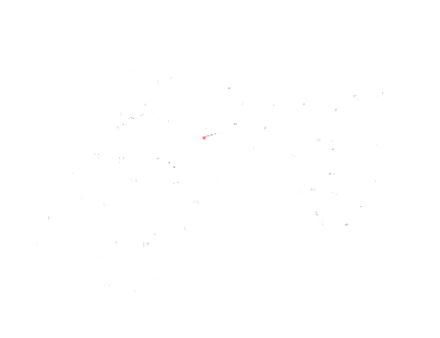 c1ccc(-c2cccc3cccc(-c4ccccc4N(c4ccc(-c5ccc6c(c5)C5(c7ccccc7-6)C6CC7CC8CC5[C@@]86C7)cc4)c4cccc5c4-c4ccccc4C5(c4ccccc4)c4ccccc4)c23)cc1